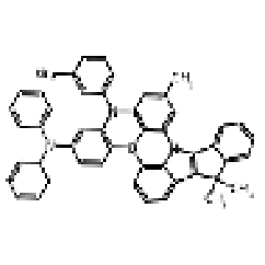 Cc1cc2c3c(c1)-n1c4c(c5cccc(c51)B3c1ccc(N(c3ccccc3)C3C=CC=CC3)cc1N2c1cccc(C(C)(C)C)c1)C(C)(C)c1ccccc1-4